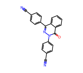 N#Cc1ccc(-c2nn(-c3ccc(C#N)cc3)c(=O)c3ccccc23)cc1